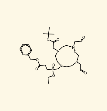 CCOP(=O)(CCC(=O)OCc1ccccc1)CN1CCN(CC=O)CCN(CC=O)CCN(CC(=O)OC(C)(C)C)CC1